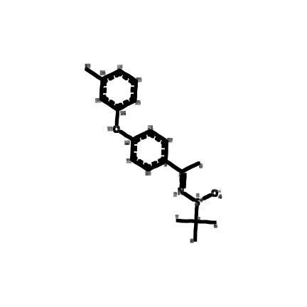 C/C(=N\[S+]([O-])C(C)(C)C)c1ccc(Oc2cccc(C)c2)cc1